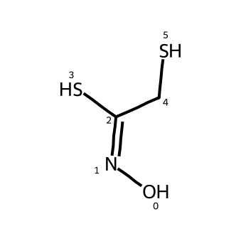 O/N=C(/S)CS